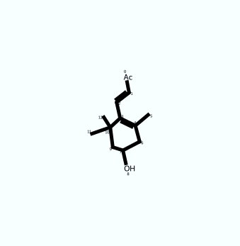 CC(=O)C=CC1=C(C)CC(O)CC1(C)C